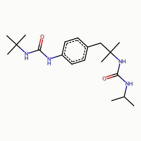 CC(C)NC(=O)NC(C)(C)Cc1ccc(NC(=O)NC(C)(C)C)cc1